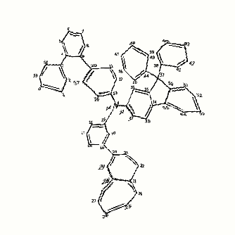 c1ccc(-c2ccccc2-c2ccc(N(c3cccc(-c4ccc5ccccc5c4)c3)c3ccc4c(c3)C(c3ccccc3)(c3ccccc3)c3ccccc3-4)cc2)cc1